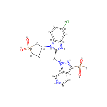 CS(=O)(=O)c1nn(Cc2nc3cc(Cl)ccc3n2[C@H]2CCS(=O)(=O)C2)c2cnccc12